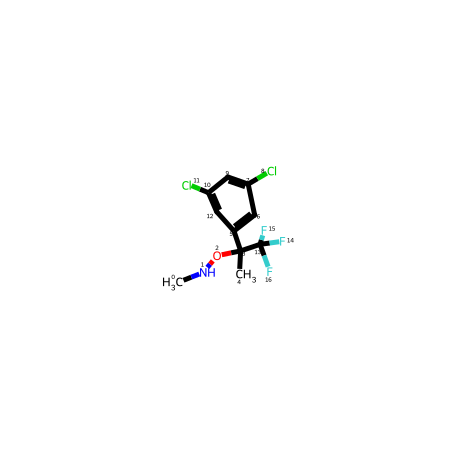 CNOC(C)(c1cc(Cl)cc(Cl)c1)C(F)(F)F